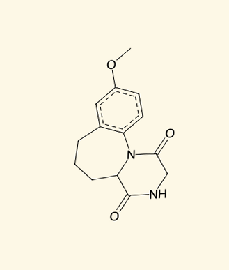 COc1ccc2c(c1)CCCC1C(=O)NCC(=O)N21